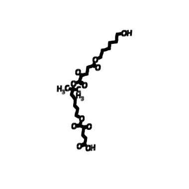 CC(C)(CCCCCOC(=O)C(=O)CCC(=O)O)OC(=O)C(=O)CCC(=O)OCCCCCCO